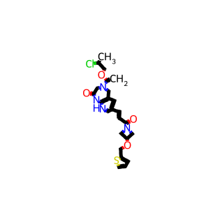 C=C(OCC(C)Cl)N1CC(=O)Nc2ncc(/C=C/C(=O)N3CC(OCc4cccs4)C3)cc2C1